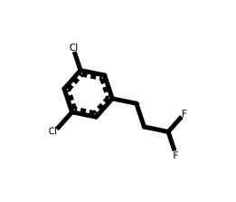 FC(F)C[CH]c1cc(Cl)cc(Cl)c1